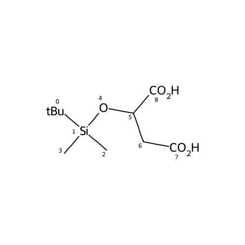 CC(C)(C)[Si](C)(C)OC(CC(=O)O)C(=O)O